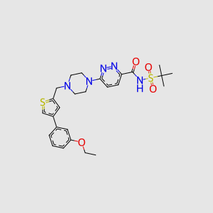 CCOc1cccc(-c2csc(CN3CCN(c4ccc(C(=O)NS(=O)(=O)C(C)(C)C)nn4)CC3)c2)c1